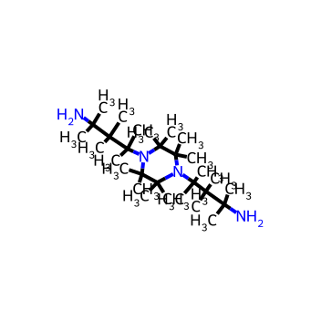 CC(C)(N)C(C)(C)C(C)(C)N1C(C)(C)C(C)(C)N(C(C)(C)C(C)(C)C(C)(C)N)C(C)(C)C1(C)C